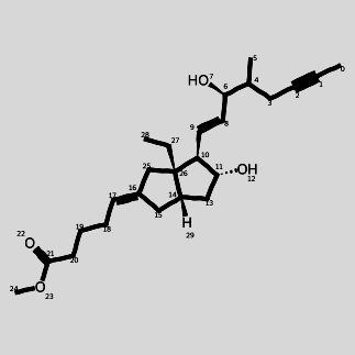 CC#CCC(C)[C@H](O)/C=C/[C@H]1[C@H](O)C[C@@H]2C/C(=C\CCCC(=O)OC)C[C@@]21CC